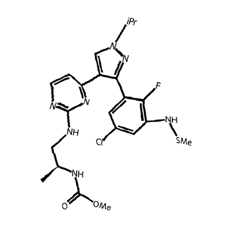 COC(=O)N[C@@H](C)CNc1nccc(-c2cn(C(C)C)nc2-c2cc(Cl)cc(NSC)c2F)n1